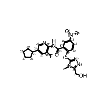 Cn1c(CO)nnc1Sc1ccc([N+](=O)[O-])cc1C(=O)Nc1ncc(C2CCCC2)cc1F